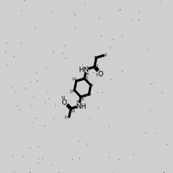 CCC(=O)NC1CCC(NC(C)=O)CC1